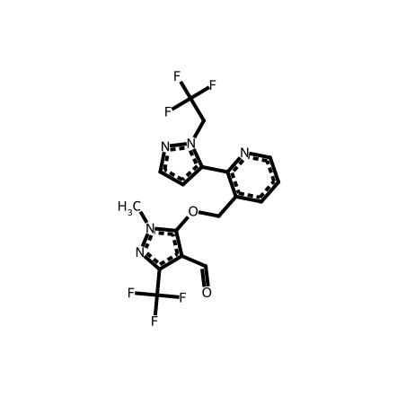 Cn1nc(C(F)(F)F)c(C=O)c1OCc1cccnc1-c1ccnn1CC(F)(F)F